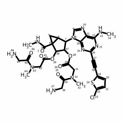 CNC(=O)C12CC1C(n1cnc3c(NC)nc(C#Cc4ccc(Cl)s4)nc31)C(OC(=O)CN(C)C(=O)CN)C2OC(=O)CN(C)C(=O)CN